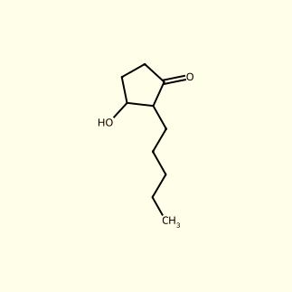 CCCCCC1C(=O)CCC1O